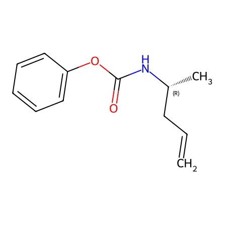 C=CC[C@@H](C)NC(=O)Oc1ccccc1